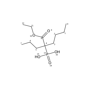 CCCCC(CCC)(C(=O)OCC)P(=O)(O)O